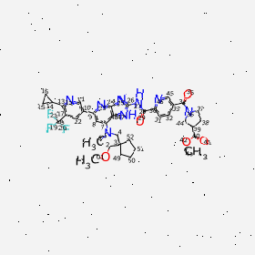 COCC1(CN(C)c2cc(-c3cnc(C4CC4)c(C(F)(F)F)c3)nc3nc(NC(=O)c4ccc(C(=O)N5CCC(C(=O)OC)C5)cn4)[nH]c23)CCCC1